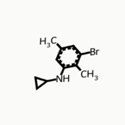 Cc1cc(Br)c(C)c(NC2CC2)c1